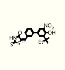 CCC(C)(C)c1cc(-c2cccc(/C=C3/SC(=S)NC3=O)c2)cc([N+](=O)[O-])c1O